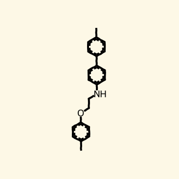 Cc1ccc(OCCNc2ccc(-c3ccc(C)cc3)cc2)cc1